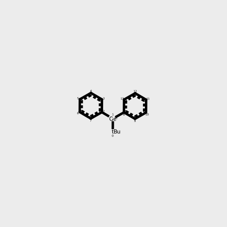 C[C](C)(C)[Ge]([c]1ccccc1)[c]1ccccc1